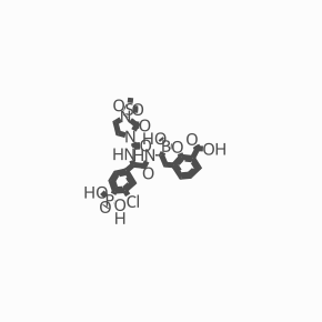 CS(=O)(=O)N1CCN(C(=O)NC(C(=O)N[C@H]2Cc3cccc(C(=O)O)c3OB2O)c2ccc(P(=O)(O)O)c(Cl)c2)C1=O